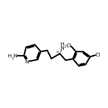 Nc1ccc(CC[C@H](N)Cc2ccc(Cl)cc2Cl)cn1